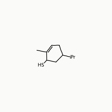 CC1=CCC(C(C)C)CC1S